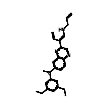 C=CCN/C=C(\C=C)c1cnc2ccc(N(C)c3cc(CC)cc(CC)c3)cc2n1